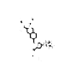 CCOC(=O)C1CC(n2nnc(C)n2)CN1CC1CCC2CN(C(=O)OC)C(C(=O)OCC)CC2C1